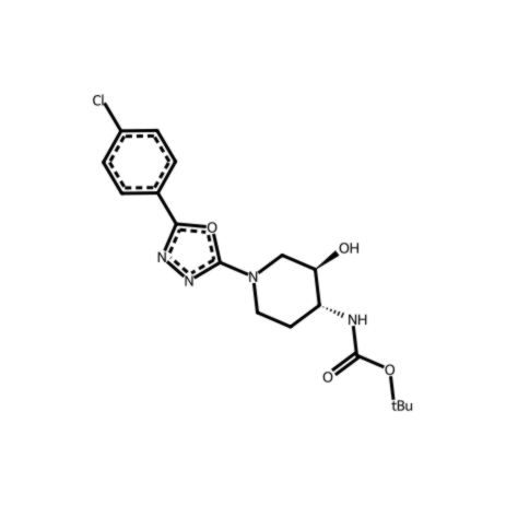 CC(C)(C)OC(=O)N[C@@H]1CCN(c2nnc(-c3ccc(Cl)cc3)o2)C[C@H]1O